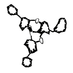 O=P12c3ccc(-c4ccccc4)cc3Oc3cc(-c4ccccc4)cc(c31)Oc1cc(-c3ccccc3)ccc12